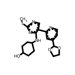 CSc1ncc(-c2cc(C3OCCO3)ccn2)c(NC2CCC(O)CC2)n1